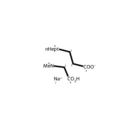 CCCCCCCCCC(=O)[O-].CNCC(=O)O.[Na+]